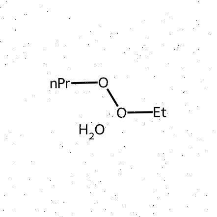 CCCOOCC.O